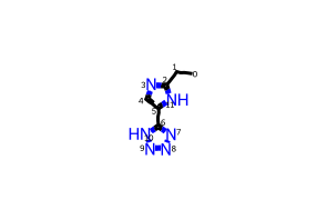 CCc1ncc(-c2nnn[nH]2)[nH]1